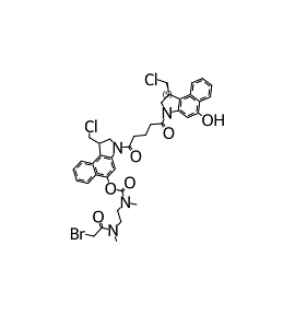 CN(CCN(C)C(=O)Oc1cc2c(c3ccccc13)C(CCl)CN2C(=O)CCCC(=O)N1C[C@@H](CCl)c2c1cc(O)c1ccccc21)C(=O)CBr